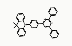 CC1(C)c2ccccc2N(c2ccc(-c3cc(-c4ccccc4)nc(-c4ccccc4)n3)cc2)c2ccccc21